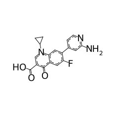 Nc1cc(-c2cc3c(cc2F)c(=O)c(C(=O)O)cn3C2CC2)ccn1